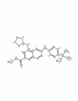 COC(=O)c1cc2ccc(Oc3ccc(C(C)(C)C)cc3)cc2c(CC2CCCC2)n1